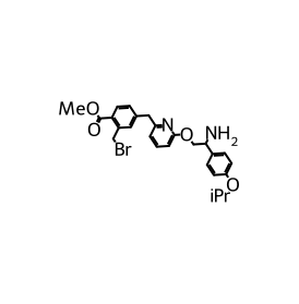 COC(=O)c1ccc(Cc2cccc(OCC(N)c3ccc(OC(C)C)cc3)n2)cc1CBr